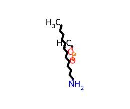 CCCCCCCCCCCCCCN.CCOP=O